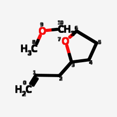 C=CCC1CCCO1.COC